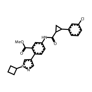 COC(=O)c1cc(NC(=O)C2CC2c2cccc(Cl)c2)ccc1-c1cnn(C2CCC2)c1